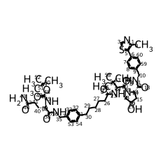 Cc1ncsc1-c1ccc(CNC(=O)[C@@H]2C[C@@H](O)CN2C(=O)[C@@H](NC(=O)CCCCCc2ccc(CNC(=O)[C@H](CCC(N)=O)NC(=O)OC(C)(C)C)cc2)C(C)(C)C)cc1